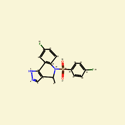 CC1c2cn[nH]c2-c2cc(F)ccc2N1S(=O)(=O)c1ccc(F)cc1